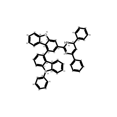 C1=C(c2ccccc2)N=C(c2cc(-c3cccc4c3c3ccccc3n4-c3ccccc3)c3c(c2)oc2ccccc23)NC1c1ccccc1